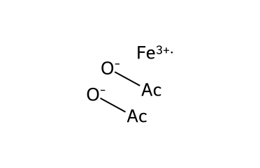 CC(=O)[O-].CC(=O)[O-].[Fe+3]